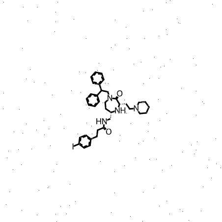 O=C(CCc1ccc(I)cc1)NC[C@@H]1CCN(CC(c2ccccc2)c2ccccc2)C(=O)[C@H](CCN2CCCCC2)N1